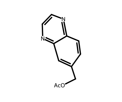 CC(=O)OCc1ccc2nccnc2c1